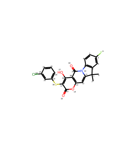 CC1(C)c2cc(F)ccc2-n2c1cc1oc(=O)c(Sc3cccc(Cl)c3)c(O)c1c2=O